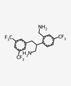 NCc1cc(C(F)(F)F)ccc1C(CN)Cc1cc(C(F)(F)F)cc(C(F)(F)F)c1